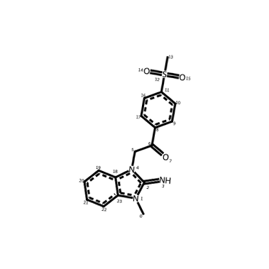 Cn1c(=N)n(CC(=O)c2ccc(S(C)(=O)=O)cc2)c2ccccc21